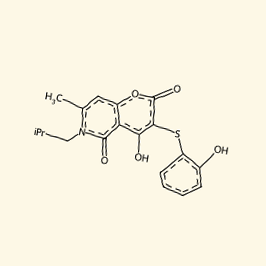 Cc1cc2oc(=O)c(Sc3ccccc3O)c(O)c2c(=O)n1CC(C)C